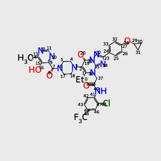 CCc1c(N2CCN(C(=O)c3ncnc(C)c3O)CC2)c(=O)n2nc(-c3ccc(OC4CC4)cc3)nc2n1CC(=O)Nc1ccc(C(F)(F)F)cc1Cl